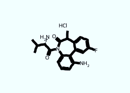 CC1C(=O)N(C(=O)[C@@H](N)C(C)C)c2cccc(N)c2-c2cc(F)ccc21.Cl